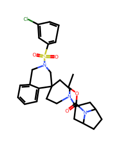 CCOC(=O)N1C2CCC1CC(N1CCC3(CC1)CN(S(=O)(=O)c1cccc(Cl)c1)Cc1ccccc13)C2